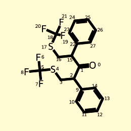 O=C(C(CSC(F)(F)F)c1ccccc1)C(CSC(F)(F)F)c1ccccc1